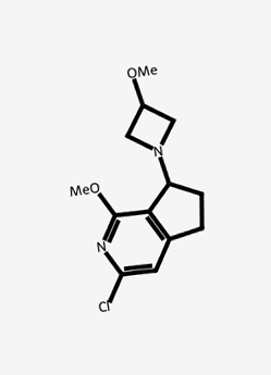 COc1nc(Cl)cc2c1C(N1CC(OC)C1)CC2